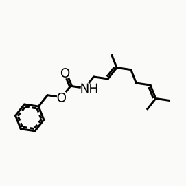 CC(C)=CCC/C(C)=C/CNC(=O)OCc1ccccc1